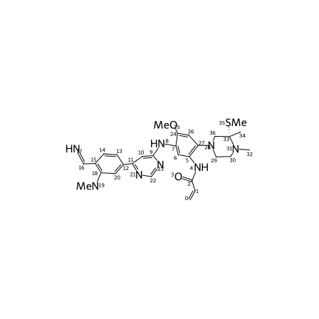 C=CC(=O)Nc1cc(Nc2cc(-c3ccc(C=N)c(NC)c3)ncn2)c(OC)cc1N1CCN(C)[C@@](C)(SC)C1